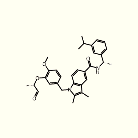 COc1ccc(Cn2c(C)c(C)c3cc(C(=O)N[C@@H](C)c4cccc(C(C)C)c4)ccc32)cc1O[C@@H](C)C=O